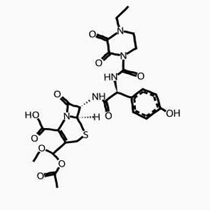 CCN1CCN(C(=O)N[C@H](C(=O)N[C@H]2C(=O)N3C(C(=O)O)=C(C(OC)OC(C)=O)CS[C@H]23)c2ccc(O)cc2)C(=O)C1=O